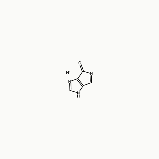 O=C1N=Cc2[nH]cnc21.[H+]